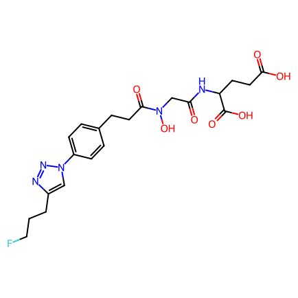 O=C(O)CCC(NC(=O)CN(O)C(=O)CCc1ccc(-n2cc(CCCF)nn2)cc1)C(=O)O